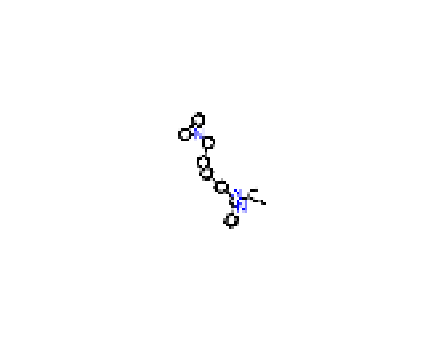 C=C/C=C(\C=C)c1nc(-c2ccccc2)cc(-c2ccc(-c3ccc4ccc(-c5cccc(-n6c7ccccc7c7ccccc76)c5)cc4c3)cc2)n1